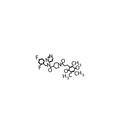 CC1=C(C)C(=O)C(CCC(=O)N2CCC(C(=O)N(Cc3ccc(F)cc3F)c3ccncn3)CC2)=C(C)C1=O